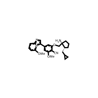 COc1cc(-c2cnc3cccc(OC)n23)cc(OC[C@@]2(N)CCC[C@@H]2CC2CC2)c1C#N